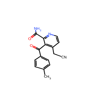 Cc1ccc(C(=O)c2c(CC#N)ccnc2C(N)=O)cc1